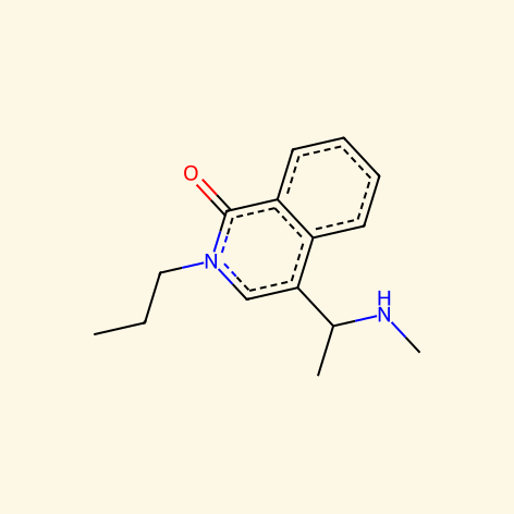 CCCn1cc(C(C)NC)c2ccccc2c1=O